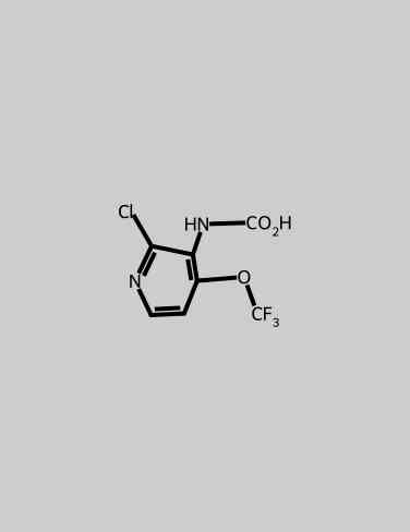 O=C(O)Nc1c(OC(F)(F)F)ccnc1Cl